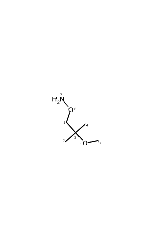 COC(C)(C)CON